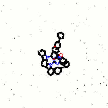 c1ccc(-c2ccc(-c3cc(-n4c5ccccc5c5ccc6c7ccccc7n(-c7nc(-c8ccccc8)nc(-c8ccccc8-c8ccccc8)n7)c6c54)cc4c3oc3ccccc34)cc2)cc1